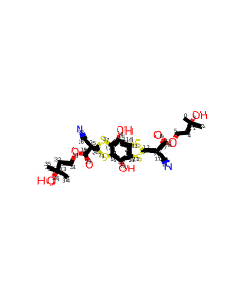 CC(C)(O)CCOC(=O)C(C#N)=C1Sc2c(O)c3c(c(O)c2S1)SC(=C(C#N)C(=O)OCCC(C)(C)O)S3